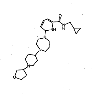 O=C(NCC1CC1)C1=CC=CC(N2CCCN(C3CCN(C4CCOC4)CC3)CC2)N1